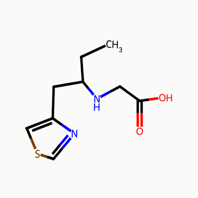 CCC(Cc1cscn1)NCC(=O)O